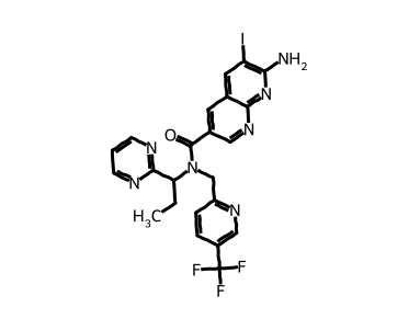 CCC(c1ncccn1)N(Cc1ccc(C(F)(F)F)cn1)C(=O)c1cnc2nc(N)c(I)cc2c1